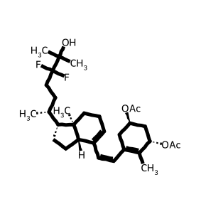 CC(=O)O[C@@H]1CC(/C=C\C2=CCC[C@]3(C)[C@@H]([C@H](C)CCC(F)(F)C(C)(C)O)CC[C@@H]23)=C(C)[C@@H](OC(C)=O)C1